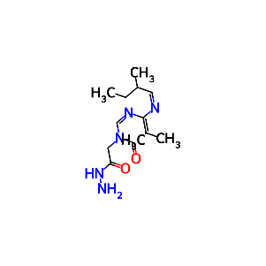 CCC(C)/C=N\C(/N=C\N(C=O)CC(=O)NN)=C(C)C